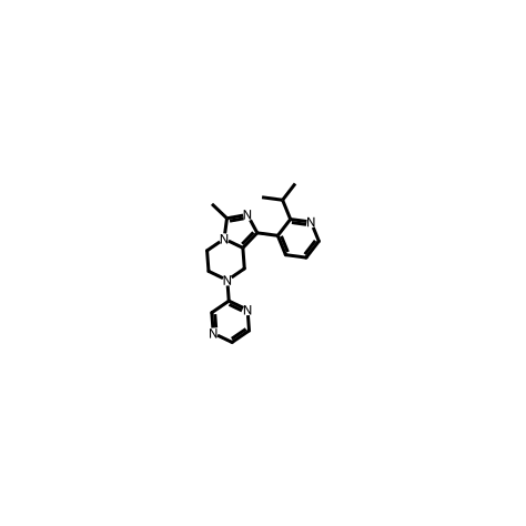 Cc1nc(-c2cccnc2C(C)C)c2n1CCN(c1cnccn1)C2